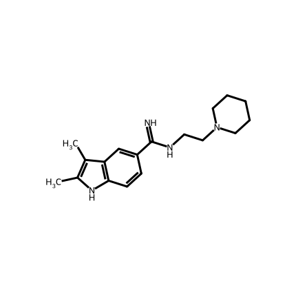 Cc1[nH]c2ccc(C(=N)NCCN3CCCCC3)cc2c1C